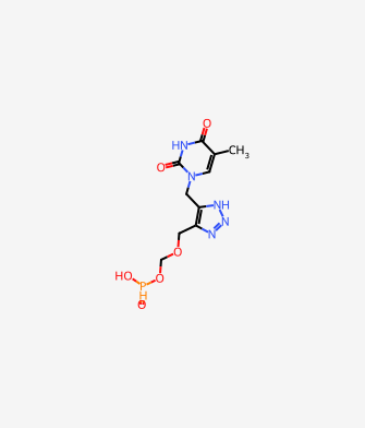 Cc1cn(Cc2[nH]nnc2COCO[PH](=O)O)c(=O)[nH]c1=O